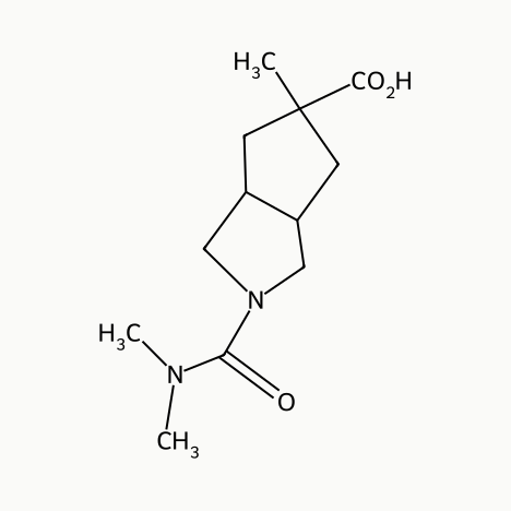 CN(C)C(=O)N1CC2CC(C)(C(=O)O)CC2C1